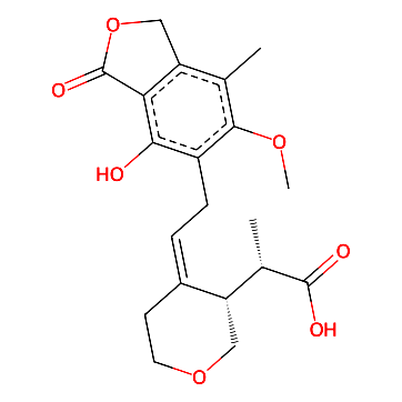 COc1c(C)c2c(c(O)c1CC=C1CCOC[C@H]1[C@H](C)C(=O)O)C(=O)OC2